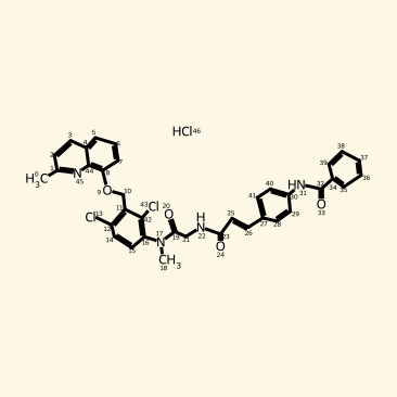 Cc1ccc2cccc(OCc3c(Cl)ccc(N(C)C(=O)CNC(=O)C=Cc4ccc(NC(=O)c5ccccc5)cc4)c3Cl)c2n1.Cl